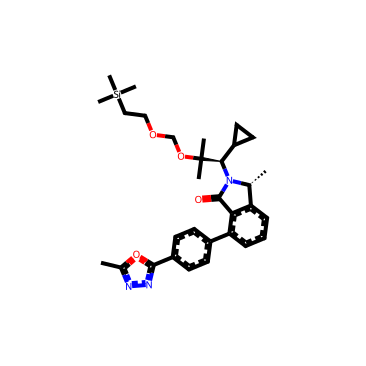 Cc1nnc(-c2ccc(-c3cccc4c3C(=O)N([C@H](C3CC3)C(C)(C)OCOCC[Si](C)(C)C)[C@@H]4C)cc2)o1